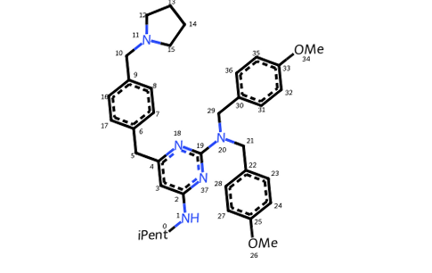 CCCC(C)Nc1cc(Cc2ccc(CN3CCCC3)cc2)nc(N(Cc2ccc(OC)cc2)Cc2ccc(OC)cc2)n1